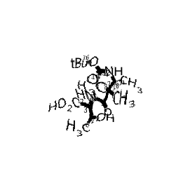 CC(O)C(NC(=O)C(C)(C)[C@@H](C)NC(=O)OC(C)(C)C)C(=O)O